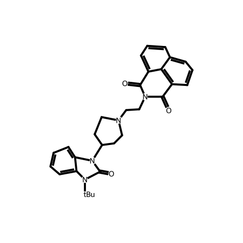 CC(C)(C)n1c(=O)n(C2CCN(CCN3C(=O)c4cccc5cccc(c45)C3=O)CC2)c2ccccc21